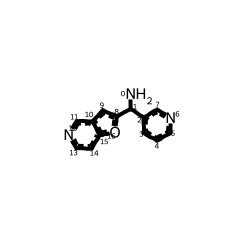 NC(c1cccnc1)c1cc2cnccc2o1